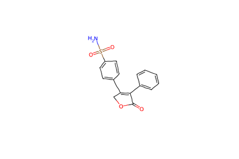 NS(=O)(=O)c1ccc(C2=C(c3ccccc3)C(=O)OC2)cc1